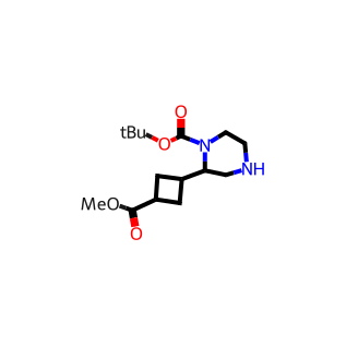 COC(=O)C1CC(C2CNCCN2C(=O)OC(C)(C)C)C1